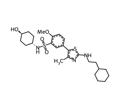 COc1ccc(-c2sc(NCCC3CCCCC3)nc2C)cc1S(=O)(=O)N[C@H]1CC[C@H](O)CC1